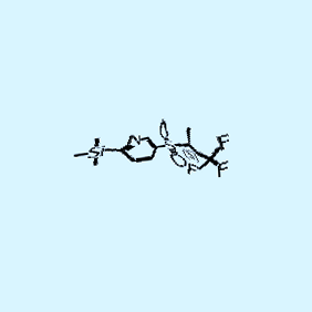 C[C@@H](C(F)(F)F)S(=O)(=O)c1ccc([Si](C)(C)C)nc1